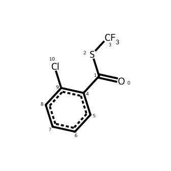 O=C(SC(F)(F)F)c1ccccc1Cl